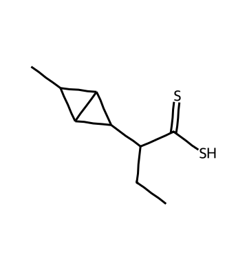 CCC(C(=S)S)C1C2C(C)C12